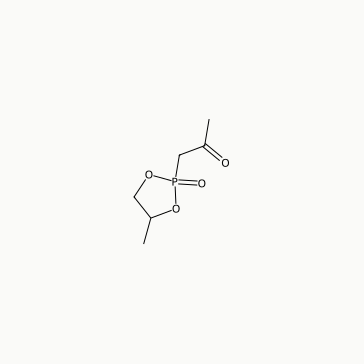 CC(=O)CP1(=O)OCC(C)O1